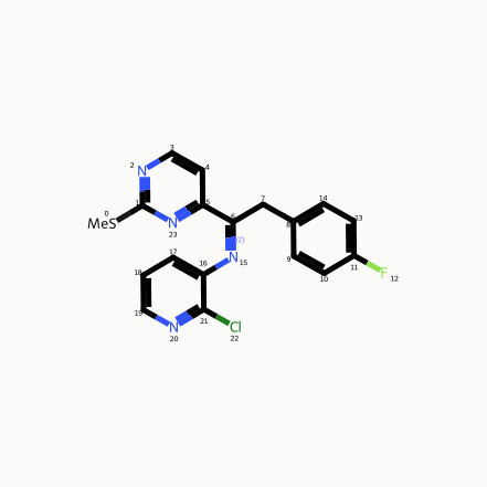 CSc1nccc(/C(Cc2ccc(F)cc2)=N\c2cccnc2Cl)n1